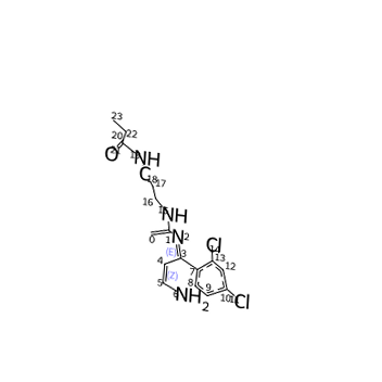 C=C(/N=C(\C=C/N)c1ccc(Cl)cc1Cl)NCCCNC(=O)CC